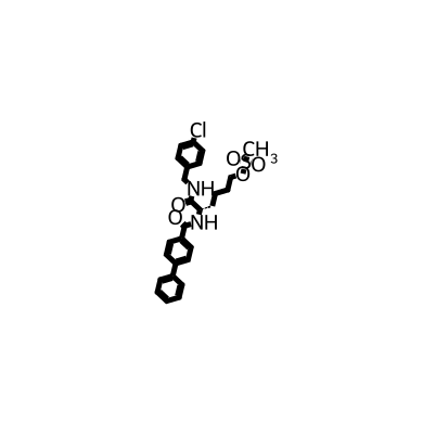 CS(=O)(=O)OCCCC[C@H](NC(=O)c1ccc(-c2ccccc2)cc1)C(=O)NCc1ccc(Cl)cc1